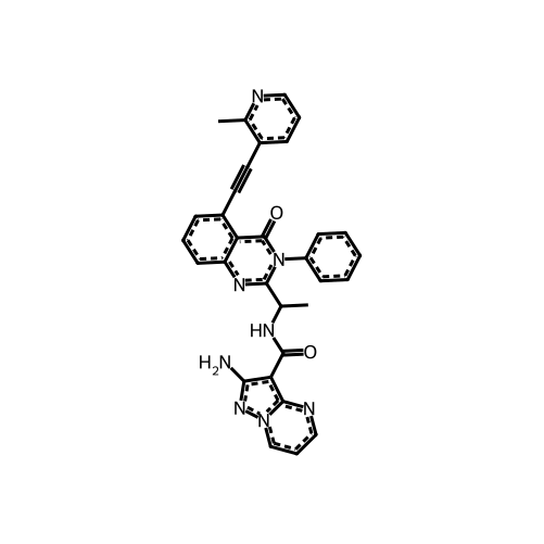 Cc1ncccc1C#Cc1cccc2nc(C(C)NC(=O)c3c(N)nn4cccnc34)n(-c3ccccc3)c(=O)c12